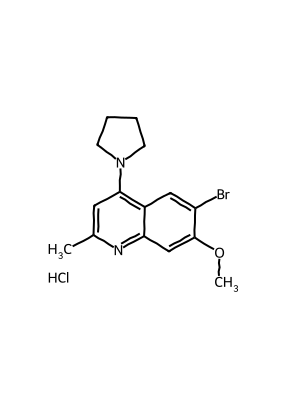 COc1cc2nc(C)cc(N3CCCC3)c2cc1Br.Cl